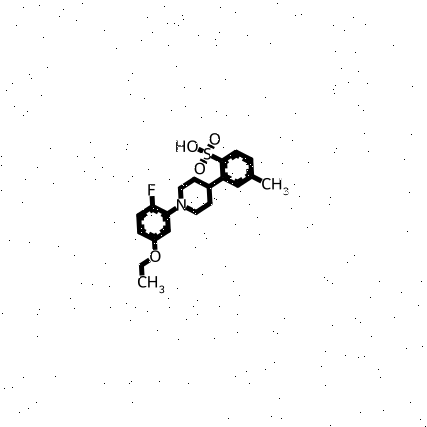 CCOc1ccc(F)c(N2CCC(c3cc(C)ccc3S(=O)(=O)O)CC2)c1